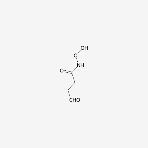 O=CCCC(=O)NOO